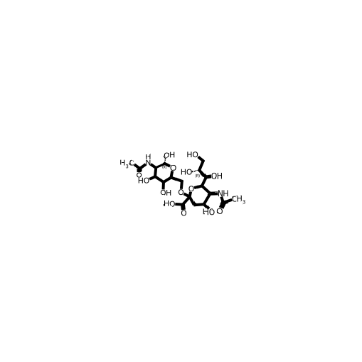 CC(=O)NC1C(O)CC(OCC2O[C@@H](O)C(NC(C)=O)C(O)C2O)(C(=O)O)OC1C(O)[C@H](O)CO